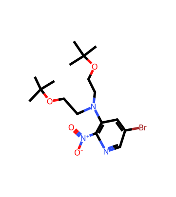 CC(C)(C)OCCN(CCOC(C)(C)C)c1cc(Br)cnc1[N+](=O)[O-]